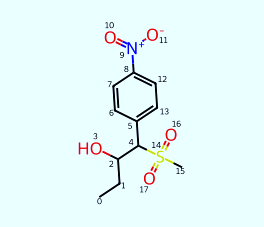 CCC(O)C(c1ccc([N+](=O)[O-])cc1)S(C)(=O)=O